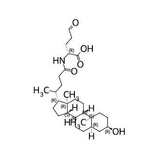 CC(CCC(=O)N[C@H](CCC=O)C(=O)O)[C@H]1CC[C@H]2[C@@H]3CC[C@@H]4C[C@H](O)CC[C@]4(C)[C@H]3CC[C@]12C